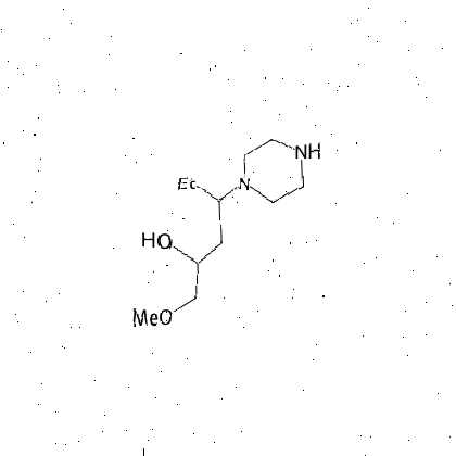 CCC(CC(O)COC)N1CCNCC1